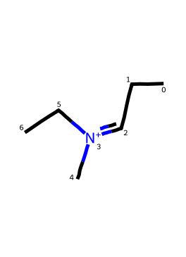 CC/C=[N+](/C)CC